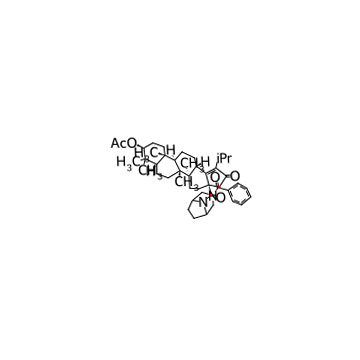 CC(=O)O[C@H]1CC[C@]2(C)[C@H]3CC[C@@H]4C5=C(C(C)C)C(=O)C[C@]5(C(=O)N5C6CCC5CN(C(=O)c5ccccc5)C6)CC[C@@]4(C)[C@]3(C)CC[C@H]2C1(C)C